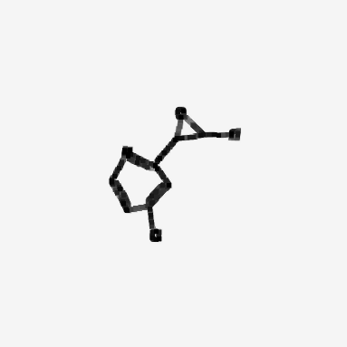 Clc1ccnc(C2OC2Cl)c1